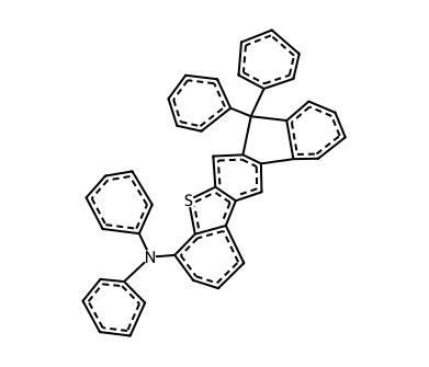 c1ccc(N(c2ccccc2)c2cccc3c2sc2cc4c(cc23)-c2ccccc2C4(c2ccccc2)c2ccccc2)cc1